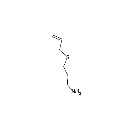 C=CCSCCCN